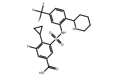 O=C(O)c1cc(F)c(C2CC2)c(S(=O)(=O)Nc2cc(C(F)(F)F)ccc2C2CCCCN2)c1